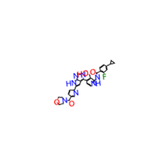 O=C(Nc1nccc(-c2ncnc3[nH]c(-c4ccc(C(=O)N5CCOCC5)cn4)cc23)c1CO)c1ccc(C2CC2)cc1F